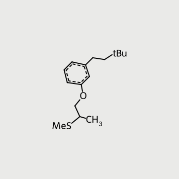 CSC(C)COc1cccc(CCC(C)(C)C)c1